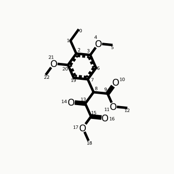 CCc1c(OC)cc(C(C(=O)OC)C(=O)C(=O)OC)cc1OC